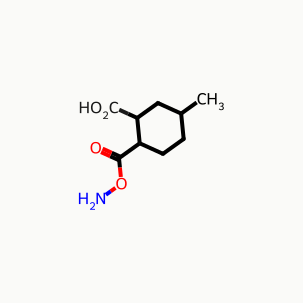 CC1CCC(C(=O)ON)C(C(=O)O)C1